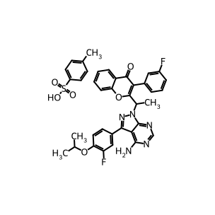 CC(C)Oc1ccc(-c2nn(C(C)c3oc4ccccc4c(=O)c3-c3cccc(F)c3)c3ncnc(N)c23)cc1F.Cc1ccc(S(=O)(=O)O)cc1